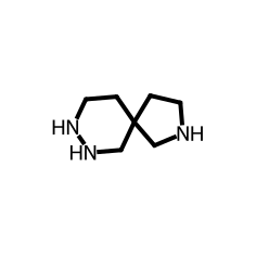 C1CC2(CCNNC2)CN1